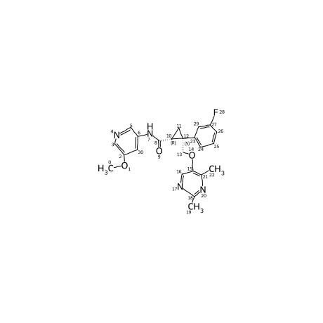 COc1cncc(NC(=O)[C@@H]2C[C@@]2(COc2cnc(C)nc2C)c2cccc(F)c2)c1